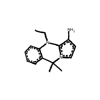 CCN1c2ccccc2C(C)(C)n2ccc(N)c21